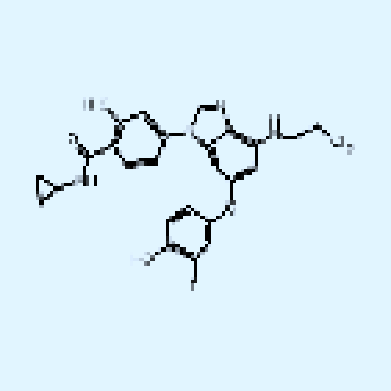 Cc1cc(-n2cnc3c(NCCC(F)(F)F)cc(Oc4ccc(O)c(F)c4)cc32)ccc1C(=O)NC1CC1